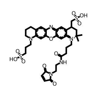 CC1(C)CC(CS(=O)(=O)O)c2cc3c(cc2=[N+]1CCCC(=O)NCCN1C(=O)C=CC1=O)Oc1cc2c(cc1N=3)CCCN2CCCS(=O)(=O)O